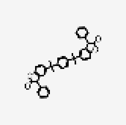 CC(C)(c1ccc(C(C)(C)c2ccc3c(c2)C(c2ccccc2)C(=O)O3)cc1)c1ccc2c(c1)C(c1ccccc1)C(=O)O2